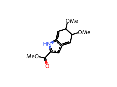 COC(=O)c1cc2c([nH]1)=CC(OC)C(OC)C=2